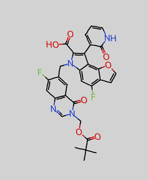 CC(C)(C)C(=O)OCn1cnc2cc(F)c(Cn3c(C(=O)O)c(-c4ccc[nH]c4=O)c4c5occc5c(F)cc43)cc2c1=O